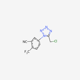 N#Cc1cc(-n2nnnc2CCl)ccc1C(F)(F)F